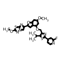 COc1cc(OCc2nc(-c3ccnc(F)c3)sc2C(C)C)c2cc(-c3cn4nc(OC)sc4n3)oc2c1